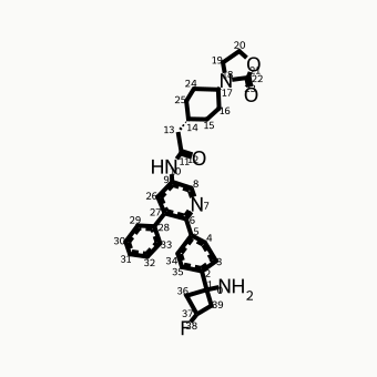 NC1(c2ccc(-c3ncc(NC(=O)C[C@H]4CC[C@H](N5CCOC5=O)CC4)cc3-c3ccccc3)cc2)CC(F)C1